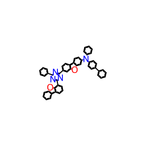 c1ccc(-c2ccc(N(c3ccccc3)c3ccc4c(c3)oc3cc(-c5nc(-c6ccccc6)nc(-c6cccc7c6oc6ccccc67)n5)ccc34)cc2)cc1